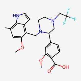 COc1cc(C2CN(CC(F)(F)F)CCN2Cc2c(OC)cc(C)c3[nH]ccc23)ccc1C(=O)O